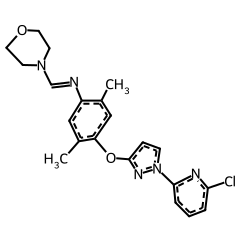 Cc1cc(Oc2ccn(-c3cccc(Cl)n3)n2)c(C)cc1N=CN1CCOCC1